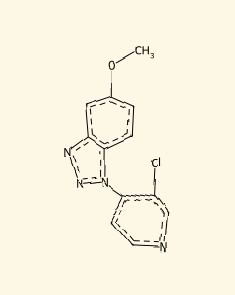 COc1ccc2c(c1)nnn2-c1ccncc1Cl